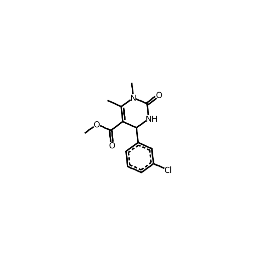 COC(=O)C1=C(C)N(C)C(=O)NC1c1cccc(Cl)c1